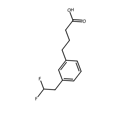 O=C(O)CCCc1cccc(CC(F)F)c1